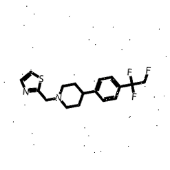 FCC(F)(F)c1ccc(C2CCN(Cc3nc[c]s3)CC2)cc1